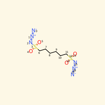 [N-]=[N+]=NS(=O)(=O)CCCCCCS(=O)(=O)N=[N+]=[N-]